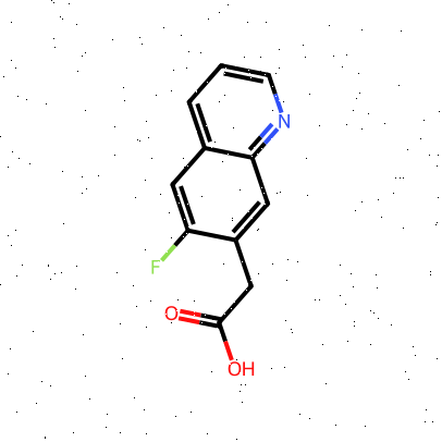 O=C(O)Cc1cc2ncccc2cc1F